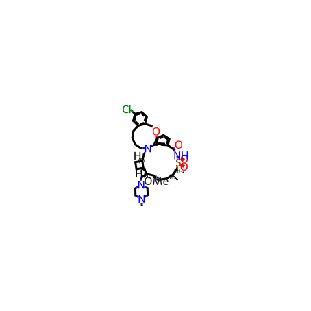 CO[C@@]1(CN2CCN(C)CC2)/C=C/C[C@H](C)[C@@H](C)S(=O)(=O)NC(=O)c2ccc3c(c2)N(CCCCc2cc(Cl)ccc2CO3)C[C@@H]2CC[C@H]21